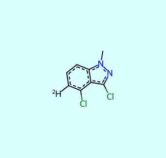 [2H]c1ccc2c(c(Cl)nn2C)c1Cl